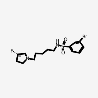 O=S(=O)(NCCCCCN1CC[C@H](F)C1)c1cccc(Br)c1